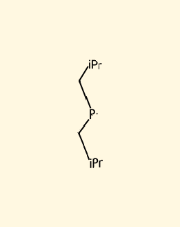 CC(C)C[P]CC(C)C